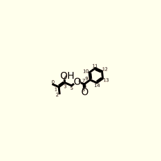 CC(C)=C(O)COC(=O)c1ccccc1